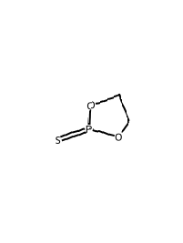 S=[P]1OCCO1